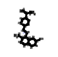 N=C(N)c1ccc(/N=N/c2c(N)ncc3ccc(F)cc23)nc1